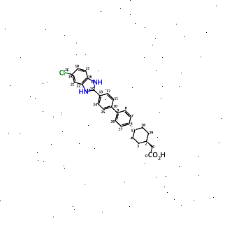 O=C(O)C[C@H]1CC[C@H](c2ccc(-c3ccc(C4Nc5ccc(Cl)cc5N4)cc3)cc2)CC1